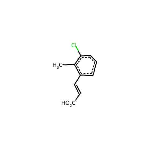 Cc1c(Cl)cccc1C=CC(=O)O